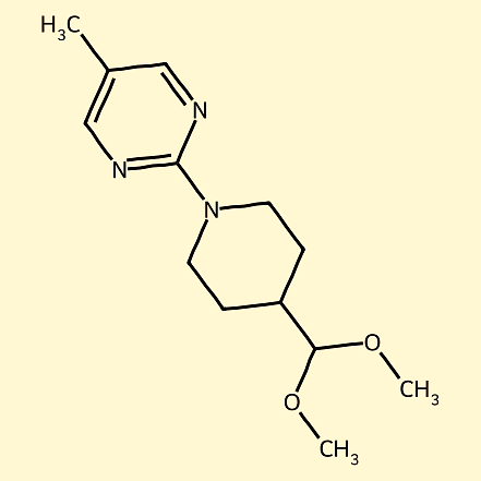 COC(OC)C1CCN(c2ncc(C)cn2)CC1